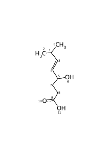 CC(C)C=CC(O)CCC(=O)O